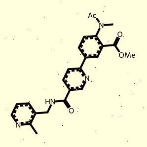 COC(=O)c1cc(-c2ccc(C(=O)NCc3cccnc3C)cn2)ccc1N(C)C(C)=O